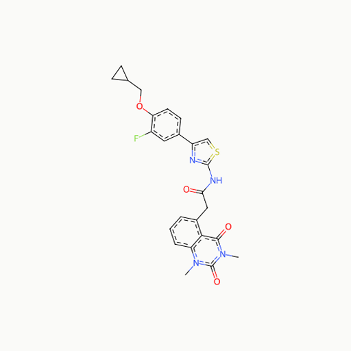 Cn1c(=O)c2c(CC(=O)Nc3nc(-c4ccc(OCC5CC5)c(F)c4)cs3)cccc2n(C)c1=O